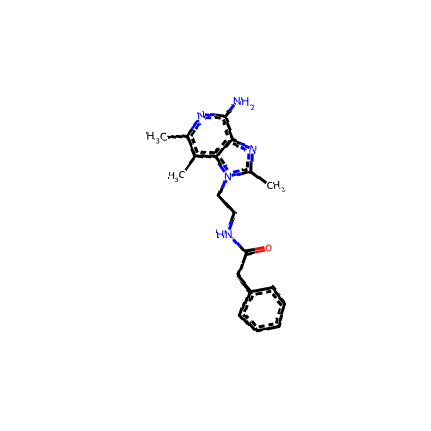 Cc1nc(N)c2nc(C)n(CCNC(=O)Cc3ccccc3)c2c1C